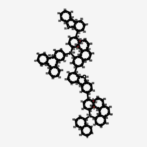 c1ccc2c(N(c3ccc(-c4ccc5oc6c(-c7cc(N(c8ccc(-c9cccc%10c9sc9ccccc9%10)cc8)c8ccc9c%10ccccc%10c%10ccccc%10c9c8)c8c(ccc9ccccc98)c7)cccc6c5c4)cc3)c3cccc4ccc5ccccc5c34)cccc2c1